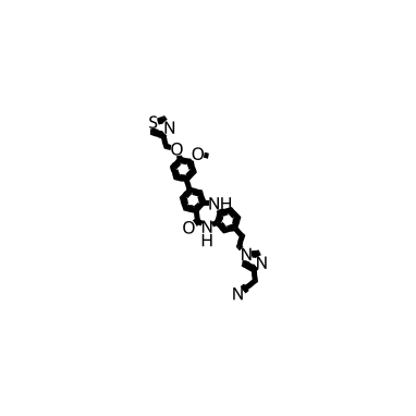 COc1cc(-c2ccc3c(c2)Nc2ccc(CCn4cnc(CC#N)c4)cc2NC3=O)ccc1OCc1cscn1